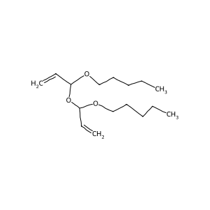 C=CC(OCCCCC)OC(C=C)OCCCCC